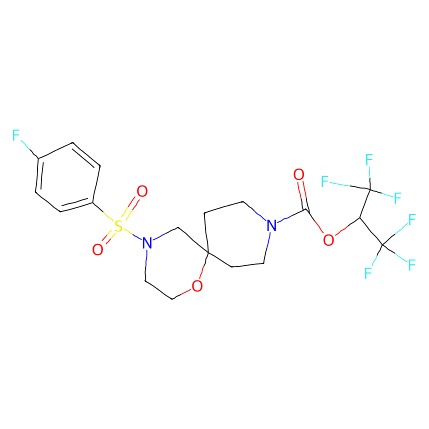 O=C(OC(C(F)(F)F)C(F)(F)F)N1CCC2(CC1)CN(S(=O)(=O)c1ccc(F)cc1)CCO2